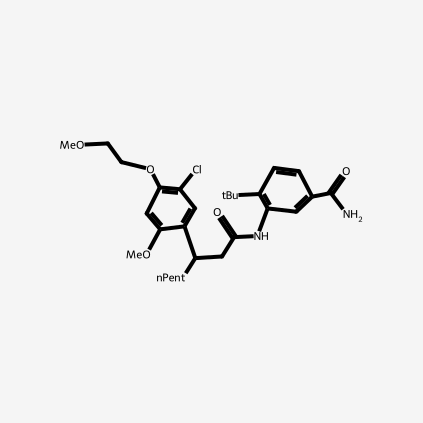 CCCCCC(CC(=O)Nc1cc(C(N)=O)ccc1C(C)(C)C)c1cc(Cl)c(OCCOC)cc1OC